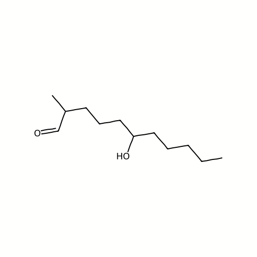 CCCCCC(O)CCCC(C)C=O